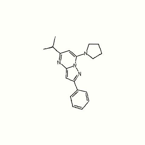 CC(C)c1cc(N2CCCC2)n2nc(-c3ccccc3)cc2n1